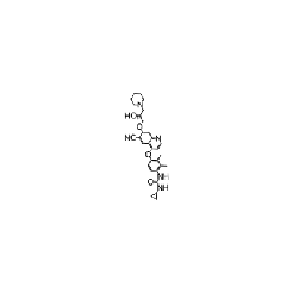 Cc1c(NC(=O)NC2CC2)ccc(Oc2ccnc3cc(OC[C@@H](O)CN4CCCCC4)c(C#N)cc23)c1C